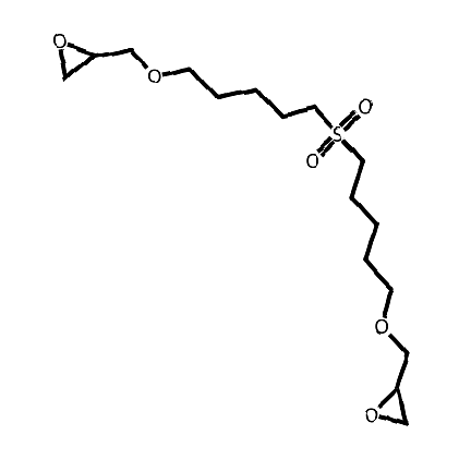 O=S(=O)(CCCCCOCC1CO1)CCCCCOCC1CO1